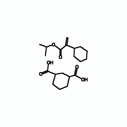 C=C(C(=O)OC(C)C)C1CCCCC1.O=C(O)C1CCCC(C(=O)O)C1